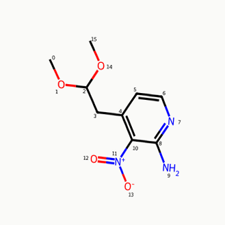 COC(Cc1ccnc(N)c1[N+](=O)[O-])OC